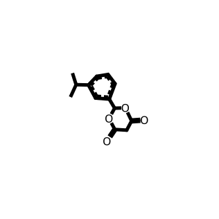 CC(C)c1cccc(C2OC(=O)CC(=O)O2)c1